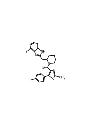 Cc1nc(C(=O)N2CCCCC2Cc2nc3c(F)cccc3[nH]2)c(-c2ccc(F)cc2)s1